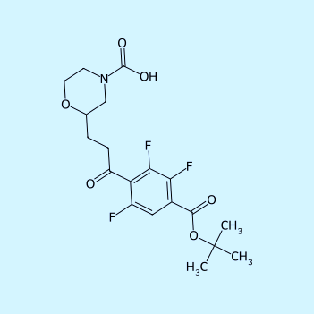 CC(C)(C)OC(=O)c1cc(F)c(C(=O)CCC2CN(C(=O)O)CCO2)c(F)c1F